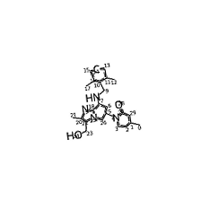 Cc1ccn(-c2cc(NCc3c(C)cccc3C)c3nc(C)c(CO)n3c2)c(=O)c1